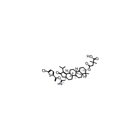 C=C(O/C(C[C@@]12CC[C@]3(C)[C@H](CC[C@@H]4[C@@]5(C)CC[C@H](OC(=O)CC(C)(C)C(=O)O)C(C)(C)[C@@H]5CC[C@]43C)C1=C(C(C)C)C(=O)C2)=N\C)c1ccc(Cl)s1